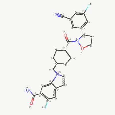 N#Cc1cc(F)cc([C@@H]2CCON2C(=O)[C@H]2CC[C@H](Cn3ccc4cc(F)c(C(N)=O)cc43)CC2)c1